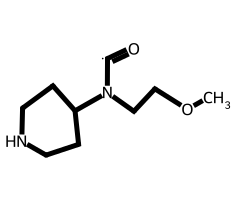 COCCN([C]=O)C1CCNCC1